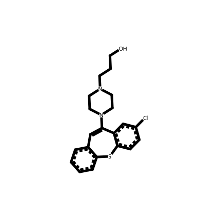 OCCCN1CCN(C2=Cc3ccccc3Sc3ccc(Cl)cc32)CC1